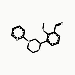 COc1c(C=O)cccc1C1CN(c2ccccn2)CCO1